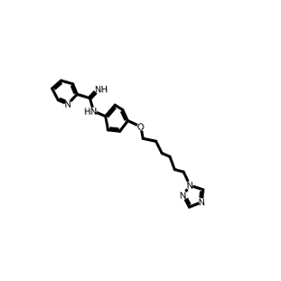 N=C(Nc1ccc(OCCCCCCn2cncn2)cc1)c1ccccn1